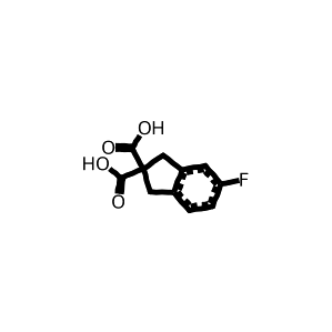 O=C(O)C1(C(=O)O)Cc2ccc(F)cc2C1